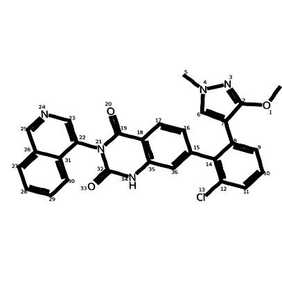 COc1nn(C)cc1-c1cccc(Cl)c1-c1ccc2c(=O)n(-c3cncc4ccccc34)c(=O)[nH]c2c1